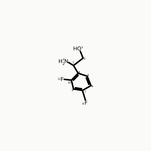 NC(CO)c1ccc(F)cc1F